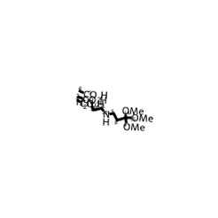 CC(=O)O.CC(=O)O.CC(=O)O.COC(CCNCCN)(OC)OC